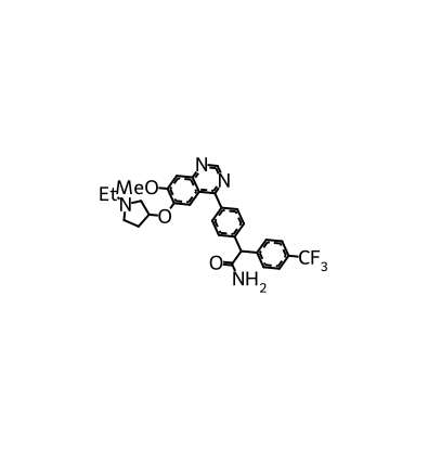 CCN1CCC(Oc2cc3c(-c4ccc(C(C(N)=O)c5ccc(C(F)(F)F)cc5)cc4)ncnc3cc2OC)C1